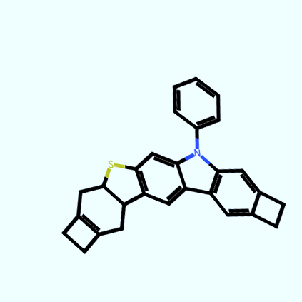 c1ccc(-n2c3cc4c(cc3c3cc5c(cc32)SC2CC3=C(CC3)CC52)CC4)cc1